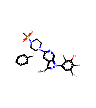 CNc1nn(-c2cc(C(F)(F)F)c(F)c(O)c2F)c2cnc(N3CCN(S(C)(=O)=O)C[C@H]3Cc3ccccc3)cc12